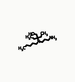 CCCCCN(CCCN)C(CC)(CC)CO